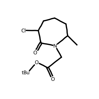 CC1CCCC(Cl)C(=O)N1CC(=O)OC(C)(C)C